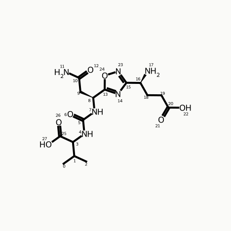 CC(C)C(NC(=O)N[C@@H](CC(N)=O)c1nc([C@@H](N)CCC(=O)O)no1)C(=O)O